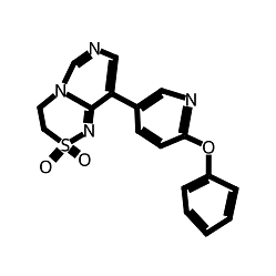 O=S1(=O)CCN2C=NC=C(c3ccc(Oc4ccccc4)nc3)C2=N1